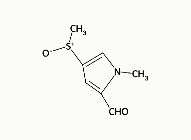 Cn1cc([S+](C)[O-])cc1C=O